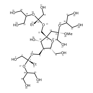 CC[C@@](CO)(OC[C@@H]1[C@@H](CO)O[C@@](CO[C@@](CC)(CO)OC(CO)CO)(C[C@@](CO)(OC)OC(CO)CO)[C@H]1O)OC(CO)CO